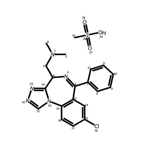 CN(C)CC1N=C(c2ccccc2)c2cc(Cl)ccc2-n2cnnc21.CS(=O)(=O)O